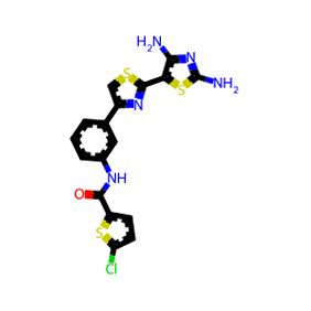 Nc1nc(N)c(-c2nc(-c3cccc(NC(=O)c4ccc(Cl)s4)c3)cs2)s1